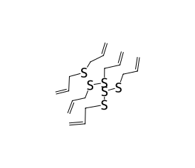 C=CCSCC=C.C=CCSSCC=C.C=CCSSSCC=C